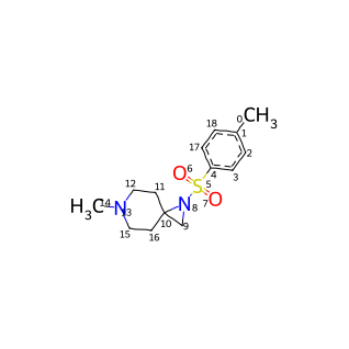 Cc1ccc(S(=O)(=O)N2CC23CCN(C)CC3)cc1